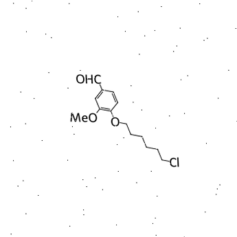 COc1cc(C=O)ccc1OCCCCCCCl